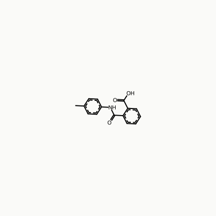 Cc1ccc(NC(=O)c2ccccc2C(=O)O)cc1